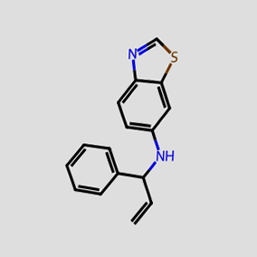 C=CC(Nc1ccc2ncsc2c1)c1ccccc1